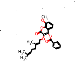 COc1cccc2c(OC(=O)c3ccccc3)c(OC/C=C(\C)CCC=C(C)C)c(=O)oc12